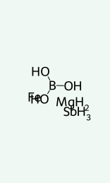 OB(O)O.[Fe].[MgH2].[SbH3]